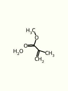 C=C(C)C(=O)OC.O